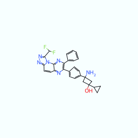 NC1(c2ccc(-c3nc4ccc5nnc(C(F)F)n5c4nc3-c3ccccc3)cc2)CC(O)(C2CC2)C1